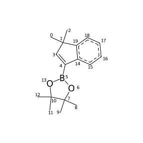 CC1(C)C=C(B2OC(C)(C)C(C)(C)O2)c2ccccc21